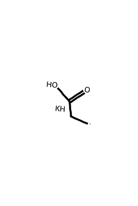 [CH2]CC(=O)O.[KH]